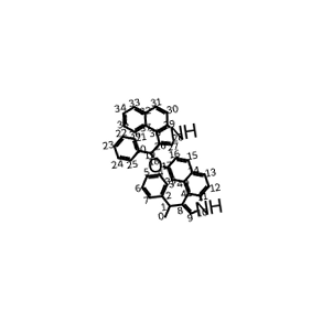 CC(c1ccccc1)c1c[nH]c2ccc3ccc(OC(c4ccccc4)c4c[nH]c5ccc6ccccc6c45)cc3c12